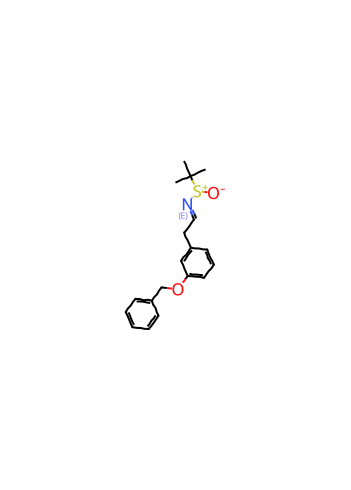 CC(C)(C)[S+]([O-])/N=C/Cc1cccc(OCc2ccccc2)c1